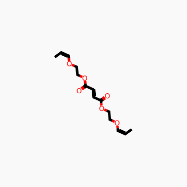 C/C=C\OCCOC(=O)/C=C/C(=O)OCCO/C=C\C